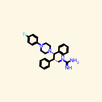 N=C(N)NC[C@H](c1ccccc1)[C@@H](c1ccccc1)N1CCN(c2ccc(F)cc2)CC1